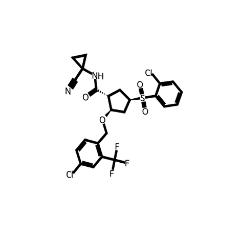 N#CC1(NC(=O)[C@@H]2C[C@@H](S(=O)(=O)c3ccccc3Cl)C[C@H]2OCc2ccc(Cl)cc2C(F)(F)F)CC1